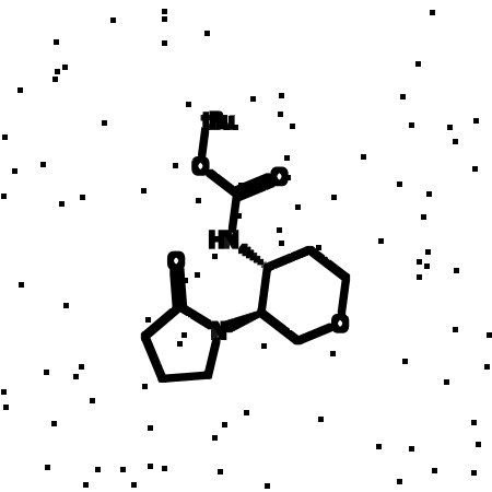 CC(C)(C)OC(=O)N[C@@H]1CCOC[C@H]1N1CCCC1=O